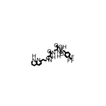 O=C(NCC(NS(=O)(=O)Cc1ccc(C(F)(F)F)cc1)C(=O)O)c1cnn(CCc2ccc3c(n2)NCCC3)c1